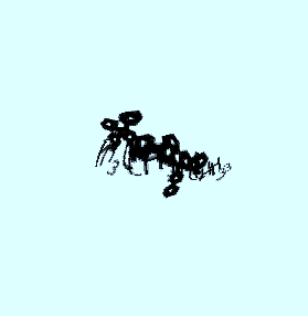 CC1(C)C2=C(C=CCC2)c2ccc(N(c3ccc(-c4ccccc4)cc3)c3ccc(-c4ccc5c(c4)C(C)(C)c4cc6c(cc4-5)c(-c4ccccc4)c(-c4ccccc4)n6-c4ccc(F)cc4)c4ccccc34)cc21